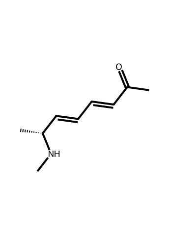 CN[C@H](C)/C=C/C=C/C(C)=O